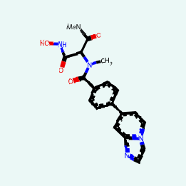 CNC(=O)C(C(=O)NO)N(C)C(=O)c1ccc(-c2ccn3ccnc3c2)cc1